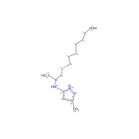 CCCCCCCCCCCCCCCCSCC(Nc1cc(C)c[nH]1)C(=O)O